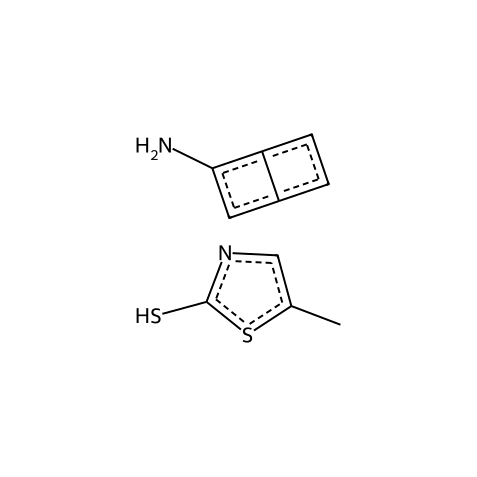 Cc1cnc(S)s1.Nc1cc2ccc1-2